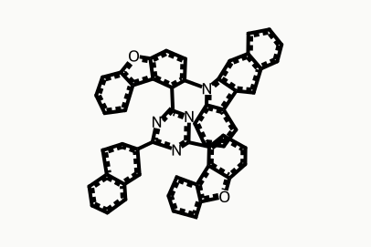 c1ccc2cc(-c3nc(-c4cccc5oc6ccccc6c45)nc(-c4c(-n5c6ccccc6c6cc7ccccc7cc65)ccc5oc6ccccc6c45)n3)ccc2c1